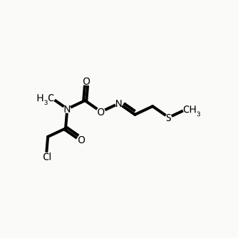 CSCC=NOC(=O)N(C)C(=O)CCl